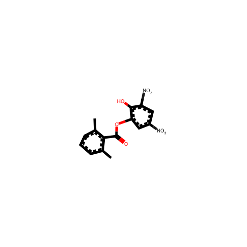 Cc1cccc(C)c1C(=O)Oc1cc([N+](=O)[O-])cc([N+](=O)[O-])c1O